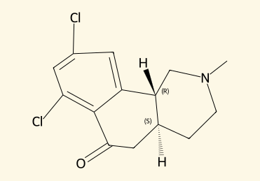 CN1CC[C@H]2CC(=O)c3c(Cl)cc(Cl)cc3[C@@H]2C1